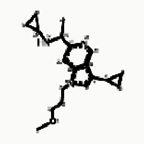 COCCCn1cc(C2CC2)c2cnc(C(C)NC3CC3)cc21